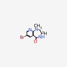 [2H]C1CN(C)c2ncc(Br)cc2C(=O)N1